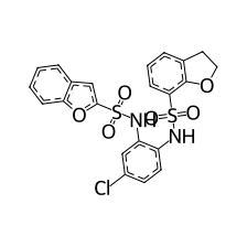 O=S(=O)(Nc1cc(Cl)ccc1NS(=O)(=O)c1cccc2c1OCC2)c1cc2ccccc2o1